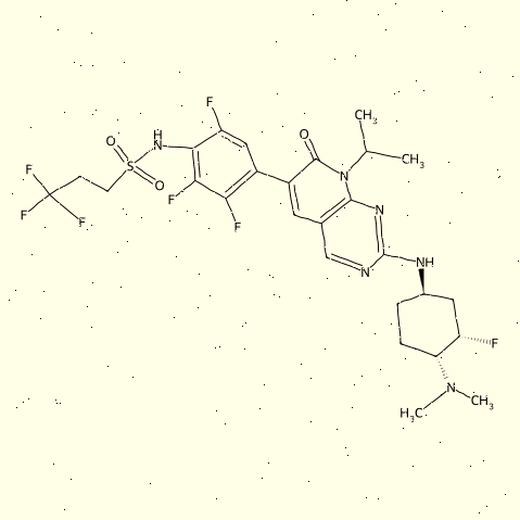 CC(C)n1c(=O)c(-c2cc(F)c(NS(=O)(=O)CCC(F)(F)F)c(F)c2F)cc2cnc(N[C@@H]3CC[C@@H](N(C)C)[C@@H](F)C3)nc21